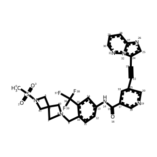 CS(=O)(=O)N1CC2(CN(Cc3ccc(NC(=O)c4cncc(C#Cc5cnc6cccnn56)c4)cc3C(F)(F)F)C2)C1